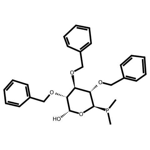 CP(C)[C@H]1O[C@H](O)[C@H](OCc2ccccc2)[C@@H](OCc2ccccc2)[C@@H]1OCc1ccccc1